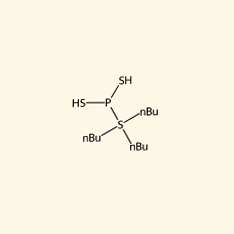 CCCCS(CCCC)(CCCC)P(S)S